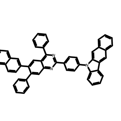 c1ccc(-c2cc3nc(-c4ccc(-n5c6ccccc6c6cc7ccccc7cc65)cc4)nc(-c4ccccc4)c3cc2-c2ccc3ccccc3c2)cc1